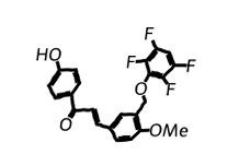 COc1ccc(/C=C/C(=O)c2ccc(O)cc2)cc1COc1c(F)c(F)cc(F)c1F